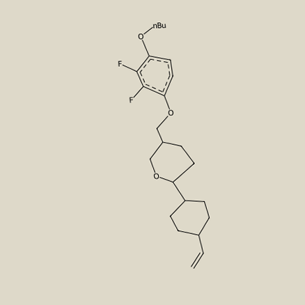 C=CC1CCC(C2CCC(COc3ccc(OCCCC)c(F)c3F)CO2)CC1